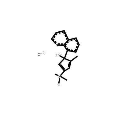 CC1=CC([Si](C)(C)Cl)=C[C]1([Cr+2])c1cccc2cccnc12.[Cl-].[Cl-]